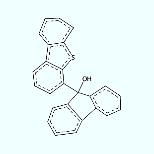 OC1(c2cccc3c2sc2ccccc23)c2ccccc2-c2ccccc21